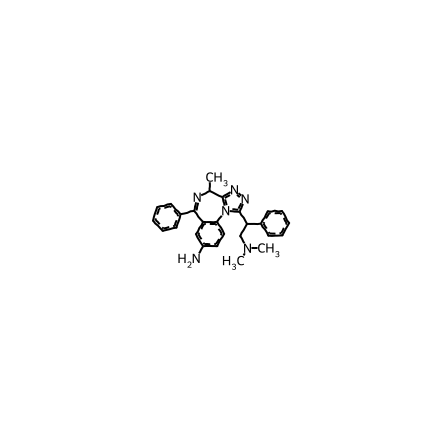 CC1N=C(c2ccccc2)c2cc(N)ccc2-n2c1nnc2C(CN(C)C)c1ccccc1